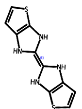 c1cc2c(s1)N/C(=C1\Nc3ccsc3N1)N2